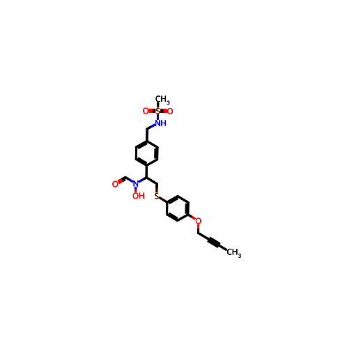 CC#CCOc1ccc(SCC(c2ccc(CNS(C)(=O)=O)cc2)N(O)C=O)cc1